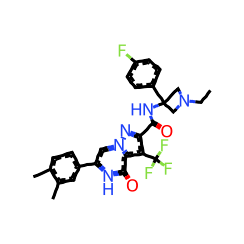 CCN1CC(NC(=O)c2nn3cc(-c4ccc(C)c(C)c4)[nH]c(=O)c3c2C(F)(F)F)(c2ccc(F)cc2)C1